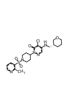 Cc1ncccc1S(=O)(=O)N1CCC(n2ncc(NC[C@H]3CCCOC3)c(Cl)c2=O)CC1